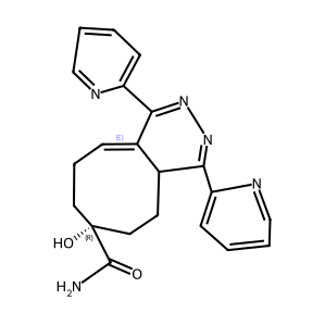 NC(=O)[C@@]1(O)CC/C=C2/C(c3ccccn3)=NN=C(c3ccccn3)C2CC1